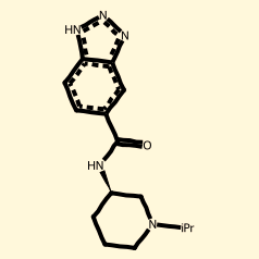 CC(C)N1CCC[C@@H](NC(=O)c2ccc3[nH]nnc3c2)C1